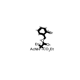 CCOC(=O)C(CC)(NC(C)=O)C(=O)OCc1ccccc1Br